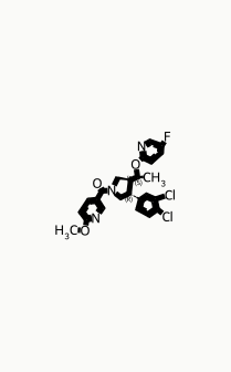 COc1ccc(C(=O)N2C[C@@H]([C@H](C)Oc3ccc(F)cn3)[C@H](c3ccc(Cl)c(Cl)c3)C2)cn1